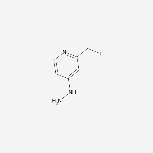 NNc1ccnc(CI)c1